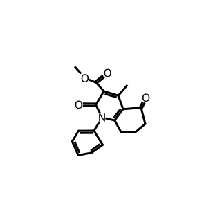 COC(=O)c1c(C)c2c(n(-c3ccccc3)c1=O)CCCC2=O